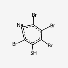 Sc1c(Br)cc(Br)c(Br)c1Br.[Na]